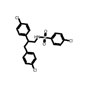 O=S(=O)(NCC(Cc1ccc(Cl)cc1)c1ccc(Cl)cc1)c1ccc(Cl)cc1